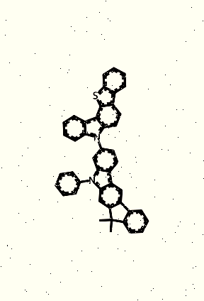 CC1(C)c2ccccc2-c2cc3c4ccc(-n5c6ccccc6c6c7sc8ccccc8c7ccc65)cc4n(-c4ccccc4)c3cc21